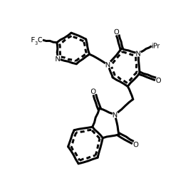 CC(C)n1c(=O)c(CN2C(=O)c3ccccc3C2=O)cn(-c2ccc(C(F)(F)F)nc2)c1=O